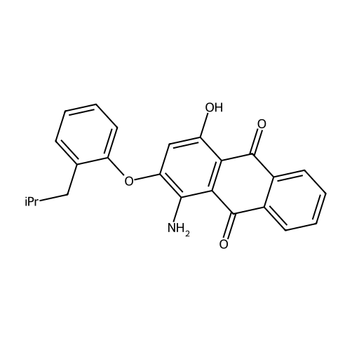 CC(C)Cc1ccccc1Oc1cc(O)c2c(c1N)C(=O)c1ccccc1C2=O